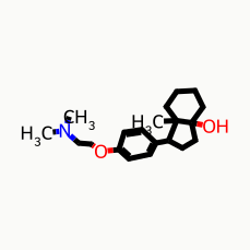 CN(C)CCOc1ccc(C2CCC3(O)CCCCC23C)cc1